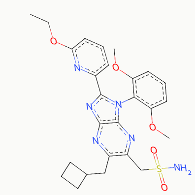 CCOc1cccc(-c2nc3nc(CC4CCC4)c(CS(N)(=O)=O)nc3n2-c2c(OC)cccc2OC)n1